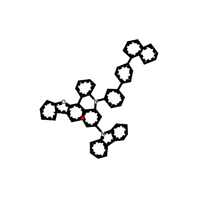 c1cc(-c2ccc(-c3cccc4ccccc34)cc2)cc(N(c2cccc(-n3c4ccccc4c4ccccc43)c2)c2ccccc2-c2cccc3c2oc2ccccc23)c1